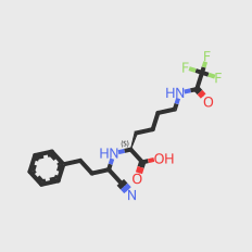 N#CC(CCc1ccccc1)N[C@@H](CCCCNC(=O)C(F)(F)F)C(=O)O